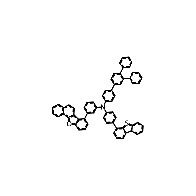 c1ccc(-c2ccc(-c3ccc(N(c4ccc(-c5cccc6c5sc5ccccc56)cc4)c4cccc(-c5cccc6oc7c8ccccc8ccc7c56)c4)cc3)cc2-c2ccccc2)cc1